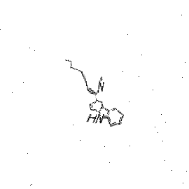 C=N/C(=C\CCCC)c1ccc2[nH]c3ccccc3c2c1